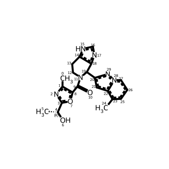 Cc1nc([C@@H](C)O)oc1C(=O)N1CCc2[nH]cnc2C1c1cc2c(C)cccn2n1